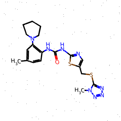 Cc1ccc(NC(=O)Nc2ncc(CSc3nnnn3C)s2)c(N2CCCCC2)c1